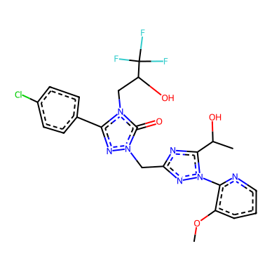 COc1cccnc1-n1nc(Cn2nc(-c3ccc(Cl)cc3)n(CC(O)C(F)(F)F)c2=O)nc1C(C)O